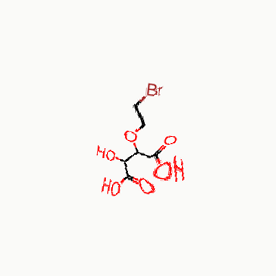 O=C(O)C(O)C(OCCBr)C(=O)O